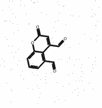 O=Cc1cccc2oc(=O)cc(C=O)c12